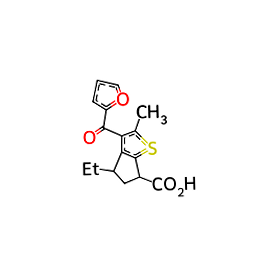 CCC1CC(C(=O)O)c2sc(C)c(C(=O)c3ccco3)c21